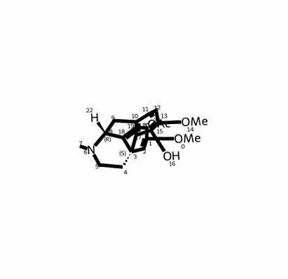 COC1=C[C@]23CCN(C)[C@H](Cc4ccc(OC)c(O)c42)C3=C[C@@H]1OC(C)=O